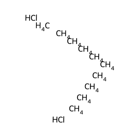 C.C.C.C.C.C.C.C.C.C.Cl.Cl